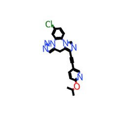 CC(C)Oc1ccc(C#Cc2ncn3c2Cc2cnnn2-c2cc(Cl)ccc2-3)cn1